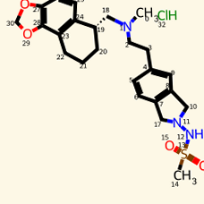 CN(CCc1ccc2c(c1)CN(NS(C)(=O)=O)C2)C[C@@H]1CCCc2c1ccc1c2OCO1.Cl